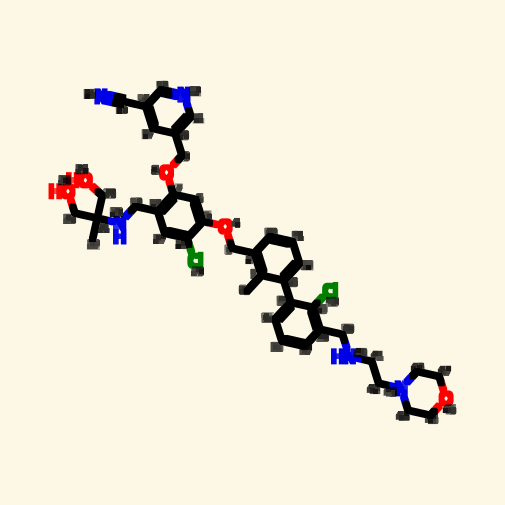 Cc1c(COc2cc(OCc3cncc(C#N)c3)c(CNC(C)(CO)CO)cc2Cl)cccc1-c1cccc(CNCCN2CCOCC2)c1Cl